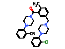 Cc1ccc(CN2CCN(c3ccccc3Cl)CC2)cc1C(=O)N1CCN(c2ccccc2C#N)CC1